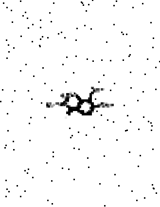 COc1ccc(C(=O)N(C)OC)c(Cl)c1OC